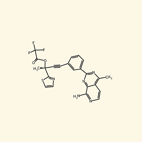 Cc1nc(-c2cccc(C#C[C@@](C)(OC(=O)C(F)(F)F)c3nccs3)c2)nc2c(N)nccc12